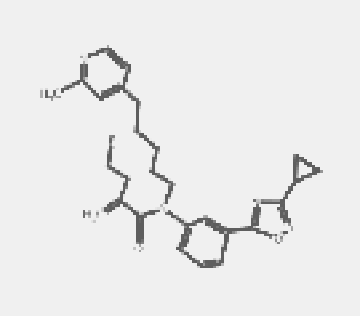 C=C(CCF)C(=O)N(CCCCCc1ccnc(C)c1)c1cccc(-c2nc(C3CC3)no2)c1